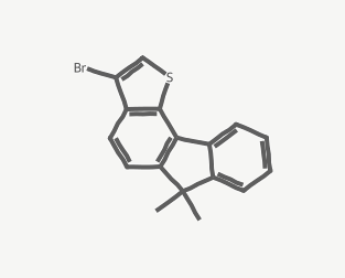 CC1(C)c2ccccc2-c2c1ccc1c(Br)csc21